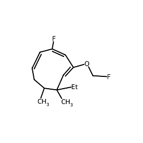 CCC1(C)/C=C(OCF)/C=C(F)\C=C/CC1C